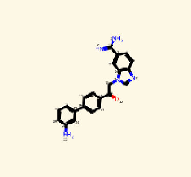 N=C(N)c1ccc2ncn(CC(=O)c3ccc(-c4cccc(N)c4)cc3)c2c1